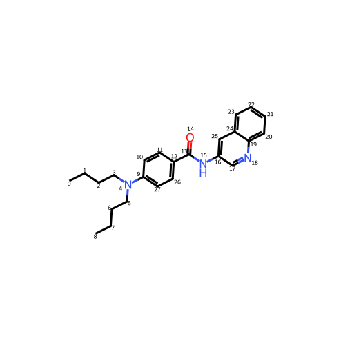 CCCCN(CCCC)c1ccc(C(=O)Nc2cnc3ccccc3c2)cc1